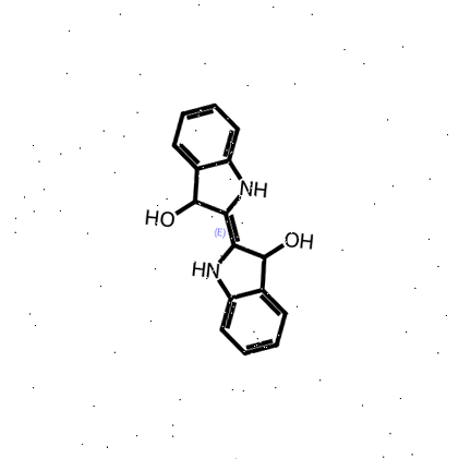 OC1/C(=C2\Nc3ccccc3C2O)Nc2ccccc21